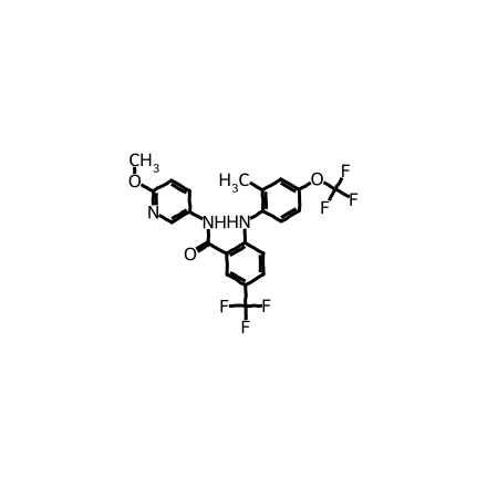 COc1ccc(NC(=O)c2cc(C(F)(F)F)ccc2Nc2ccc(OC(F)(F)F)cc2C)cn1